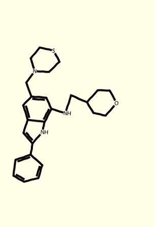 c1ccc(-c2cc3cc(CN4CCSCC4)cc(NCC4CCOCC4)c3[nH]2)cc1